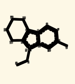 CCn1c2c(c3ccc(C)cc31)CCCC2